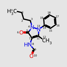 CCCCn1c(=O)c(NC=O)c(C)n1-c1ccccc1